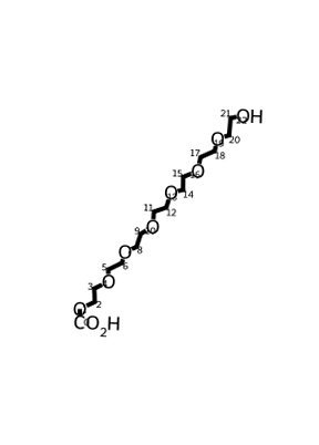 O=C(O)OCCOCCOCCOCCOCCOCCOCCO